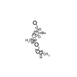 CCCC[C@H](NC(=O)OCc1ccccc1)C(=O)OC[C@H](CC(C)C)N(C)S(=O)(=O)c1ccc(Cc2nccc3[nH]c(C)nc23)cc1